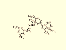 COc1ncc(-c2cc(C(F)(F)F)c3c(N)ncnn23)cc1C(=O)NC[C@H]1C[C@@H]1c1cc(C(F)(F)F)cc(C(F)(F)F)c1